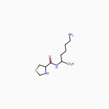 NCCCCC(NC(=O)C1CSCN1)C(=O)O